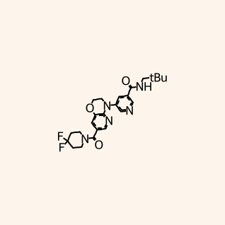 CC(C)(C)CNC(=O)c1cncc(N2CCOc3cc(C(=O)N4CCC(F)(F)CC4)cnc32)c1